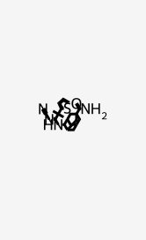 CC(C)(/C(=N\C#N)NC1C2CC3CC1CC(C(N)=O)(C3)C2)c1cccs1